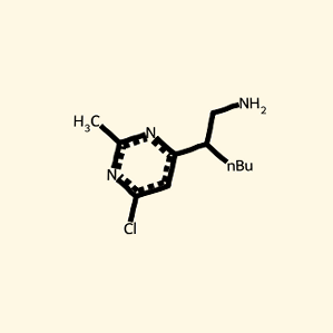 CCCCC(CN)c1cc(Cl)nc(C)n1